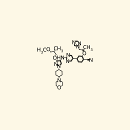 COCC(C)COc1nn([C@H]2CC[C@H](N3CCOCC3)CC2)cc1Nc1ncc(-c2ccc(C#N)c(O[C@@H](C)Cn3cncn3)c2)cn1